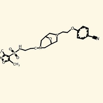 Cc1noc(C)c1S(=O)(=O)NCCCN1CC2CN(CCOc3ccc(C#N)cc3)CC(C1)O2